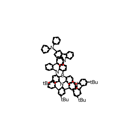 CC(C)(C)c1cc(-c2ccccc2)c(N2c3cc(-n4c5ccc(C(C)(C)C)cc5c5cc(C(C)(C)C)ccc54)ccc3B3c4ccc(-n5c6ccccc6c6cc(N(c7ccccc7)c7ccccc7)ccc65)cc4N(c4ccccc4-c4ccccc4)c4cc(C(C)(C)C)cc2c43)c(-c2ccccc2)c1